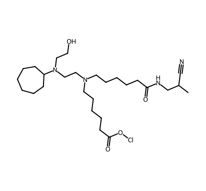 CC(C#N)CNC(=O)CCCCCN(CCCCCC(=O)OCl)CCN(CCO)C1CCCCCC1